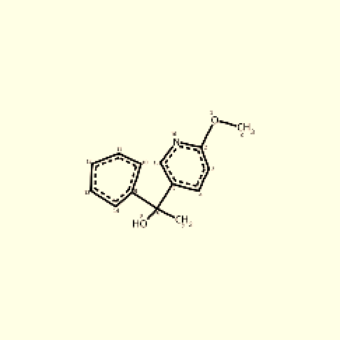 COc1ccc(C(C)(O)c2ccccc2)cn1